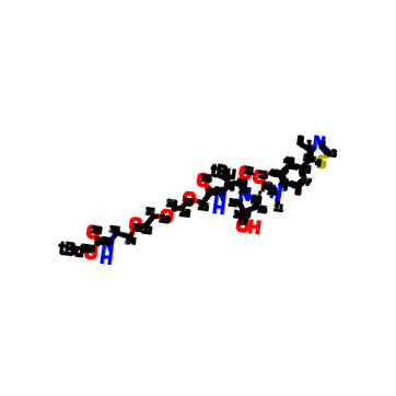 Cc1ncsc1-c1ccc(N(C)C(=O)[C@@H]2C[C@@H](O)CN2C(=O)[C@@H](NC(=O)COCCOCCOCCNC(=O)OC(C)(C)C)C(C)(C)C)cc1